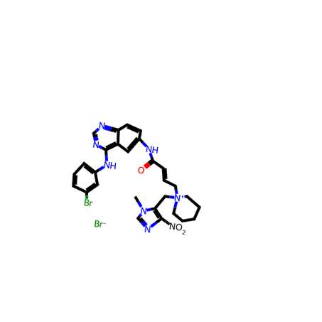 Cn1cnc([N+](=O)[O-])c1C[N+]1(CC=CC(=O)Nc2ccc3ncnc(Nc4cccc(Br)c4)c3c2)CCCCC1.[Br-]